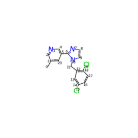 Cc1cncc(-c2nccn2Cc2cc(Cl)ccc2Cl)c1